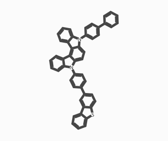 c1ccc(-c2ccc(-n3c4ccccc4c4c5c6ccccc6n(-c6ccc(-c7ccc8sc9ccccc9c8c7)cc6)c5ccc43)cc2)cc1